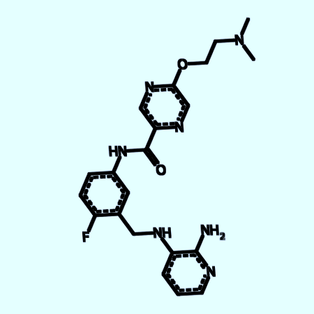 CN(C)CCOc1cnc(C(=O)Nc2ccc(F)c(CNc3cccnc3N)c2)cn1